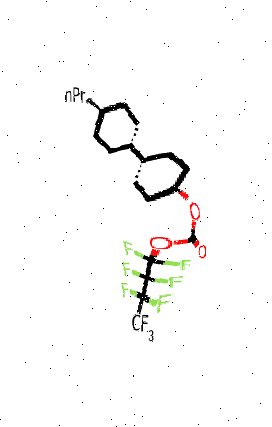 CCC[C@H]1CC[C@H]([C@H]2CC[C@H](OC(=O)OC(F)(F)C(F)(F)C(F)(F)C(F)(F)F)CC2)CC1